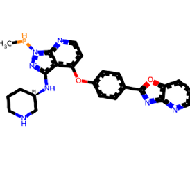 CPn1nc(N[C@@H]2CCCNC2)c2c(Oc3ccc(-c4nc5ncccc5o4)cc3)ccnc21